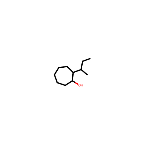 CC[C](C)C1CCCCCC1O